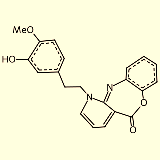 COc1ccc(CCN2C=CC=C3C(=O)Oc4ccccc4N=C32)cc1O